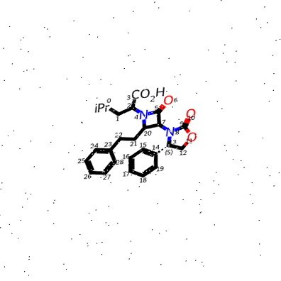 CC(C)CC(C(=O)O)N1C(=O)C(N2C(=O)OC[C@@H]2c2ccccc2)C1CCc1ccccc1